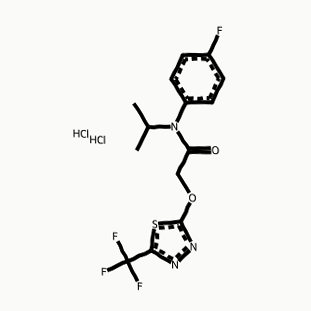 CC(C)N(C(=O)COc1nnc(C(F)(F)F)s1)c1ccc(F)cc1.Cl.Cl